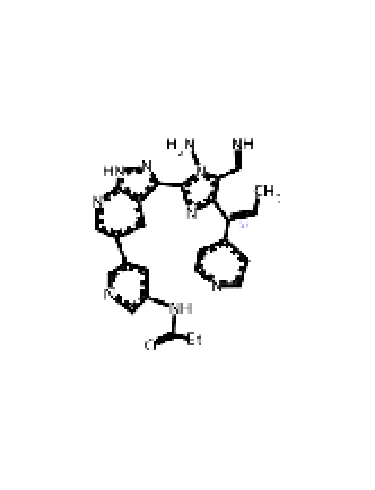 C/C=C(/c1ccncc1)c1nc(-c2n[nH]c3ncc(-c4cncc(NC(=O)CC)c4)cc23)n(N)c1C=N